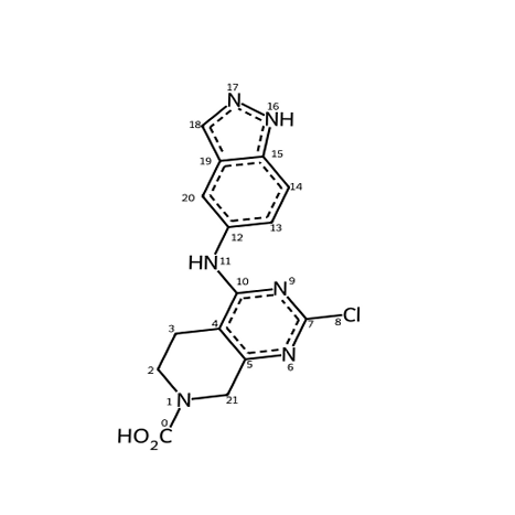 O=C(O)N1CCc2c(nc(Cl)nc2Nc2ccc3[nH]ncc3c2)C1